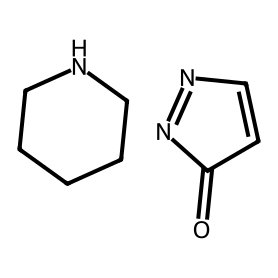 C1CCNCC1.O=C1C=CN=N1